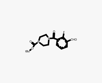 CC(C)(C)OC(=O)N1CCN(C(=O)c2cccc(C=O)c2F)CC1